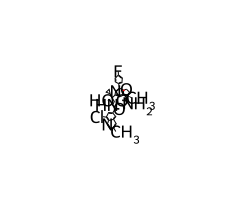 Cc1cnc2c(Cl)cc(C(=O)NC[C@](O)(c3cc4c(c(-c5ccc(F)cc5)n3)OC[C@]4(C)C(N)=O)C3CC3)cc2c1